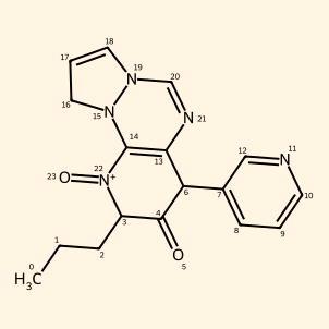 CCCC1C(=O)C(c2cccnc2)C2=C(N3CC=CN3C=N2)[N+]1=O